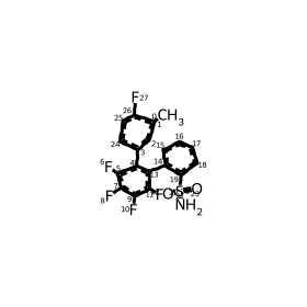 Cc1cc(-c2c(F)c(F)c(F)c(F)c2-c2ccccc2S(N)(=O)=O)ccc1F